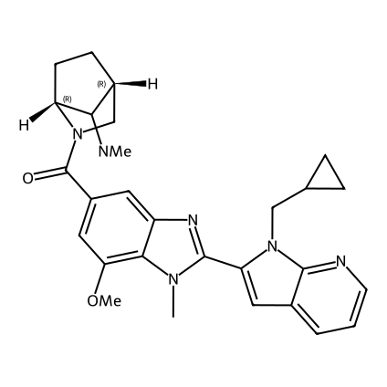 CNC1[C@@H]2CC[C@H]1N(C(=O)c1cc(OC)c3c(c1)nc(-c1cc4cccnc4n1CC1CC1)n3C)C2